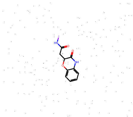 O=C(CC1Oc2ccccc2NC1=O)NI